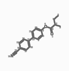 CCC(C)C(=O)Oc1ccc(-c2ccc(C#N)cc2)cc1